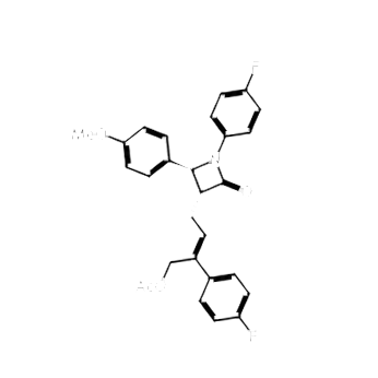 COc1ccc([C@@H]2[C@@H](C/C=C(\COC(C)=O)c3ccc(F)cc3)C(=O)N2c2ccc(F)cc2)cc1